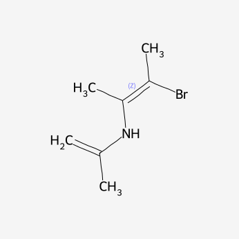 C=C(C)N/C(C)=C(/C)Br